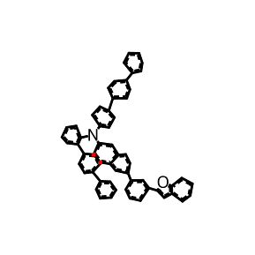 c1ccc(-c2ccc(-c3ccc(N(c4ccc5cc(-c6cccc(-c7cc8ccccc8o7)c6)ccc5c4)c4ccccc4-c4ccc(-c5ccccc5)cc4)cc3)cc2)cc1